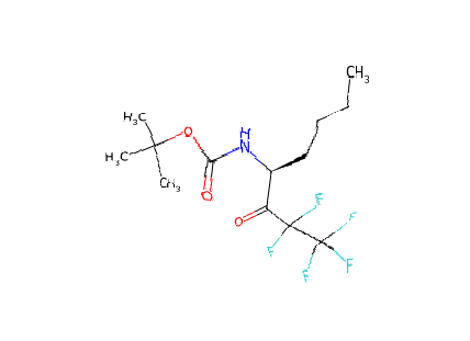 CCCC[C@H](NC(=O)OC(C)(C)C)C(=O)C(F)(F)C(F)(F)F